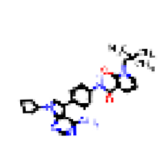 CC(C)(C)Cn1cccc(C(=O)Nc2ccc(-c3cn(C4CCCC4)c4ncnc(N)c34)cc2)c1=O